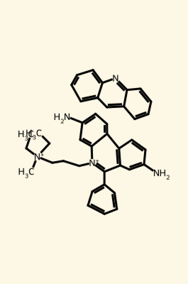 CC[N+](C)(CC)CCC[n+]1c(-c2ccccc2)c2cc(N)ccc2c2ccc(N)cc21.c1ccc2nc3ccccc3cc2c1